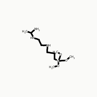 CO[Si](CCCNCCNC(C)N)(OC)OC